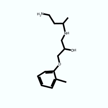 Cc1ccccc1OCC(O)CNC(C)CCN